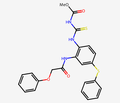 COC(=O)NC(=S)Nc1ccc(Sc2ccccc2)cc1NC(=O)COc1ccccc1